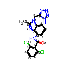 O=C(Nc1cccc2c1nc(C(F)(F)F)n2Cc1nnn[nH]1)c1c(Cl)cccc1Cl